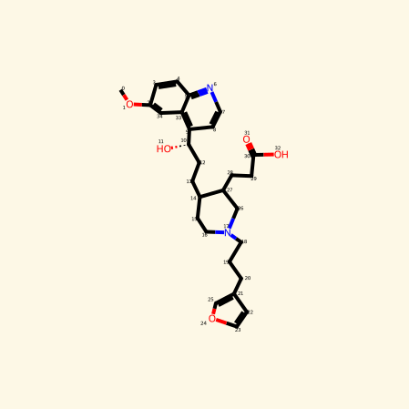 COc1ccc2nccc([C@@H](O)CCC3CCN(CCCc4ccoc4)CC3CCC(=O)O)c2c1